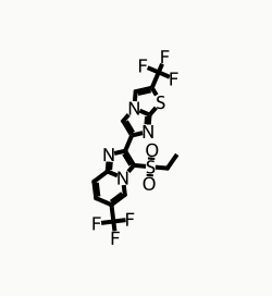 CCS(=O)(=O)c1c(-c2cn3cc(C(F)(F)F)sc3n2)nc2ccc(C(F)(F)F)cn12